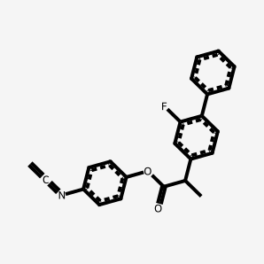 C=C=Nc1ccc(OC(=O)C(C)c2ccc(-c3ccccc3)c(F)c2)cc1